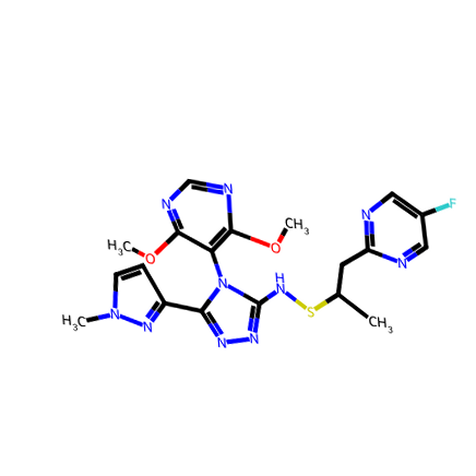 COc1ncnc(OC)c1-n1c(NSC(C)Cc2ncc(F)cn2)nnc1-c1ccn(C)n1